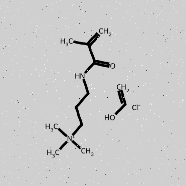 C=C(C)C(=O)NCCC[N+](C)(C)C.C=CO.[Cl-]